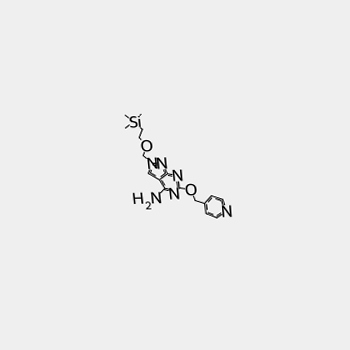 C[Si](C)(C)CCOCn1cc2c(N)nc(OCc3ccncc3)nc2n1